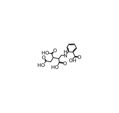 O=C(O)CC(C(=O)O)C(CNc1ccccc1C(=O)O)C(=O)O